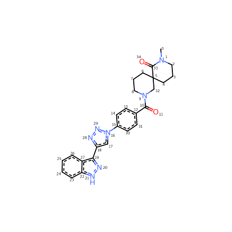 CN1CCCC2(CCCN(C(=O)c3ccc(-n4cc(-c5n[nH]c6ccccc56)nn4)cc3)C2)C1=O